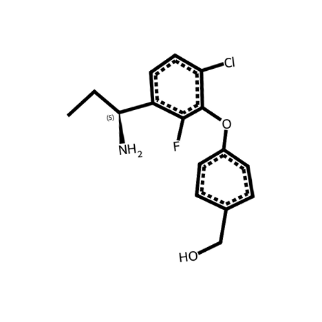 CC[C@H](N)c1ccc(Cl)c(Oc2ccc(CO)cc2)c1F